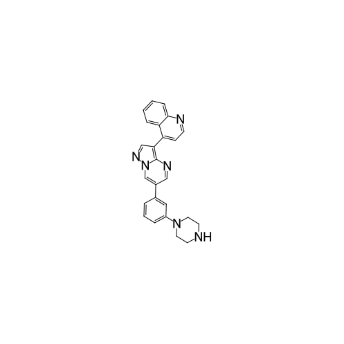 c1cc(-c2cnc3c(-c4ccnc5ccccc45)cnn3c2)cc(N2CCNCC2)c1